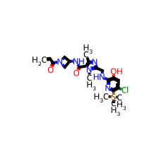 C=CC(=O)N1CC(NC(=O)c2c(C)nc(CNc3nc(S(C)(C)C)c(Cl)cc3O)n2C)C1